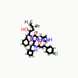 C=C[C@@H](C[C@H](O)[C@H](CC1CCCCC1)NC(=O)[C@H](Cc1c[nH]cn1)NC(=O)[C@H](Cc1ccccc1)NC(=O)C=Cc1ccc(Cl)cc1)C(C)C